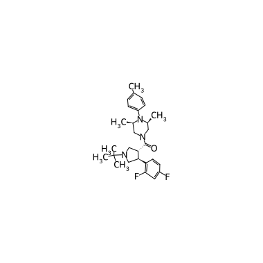 Cc1ccc(N2[C@H](C)CN(C(=O)[C@H]3CN(C(C)(C)C)C[C@@H]3c3ccc(F)cc3F)C[C@@H]2C)cc1